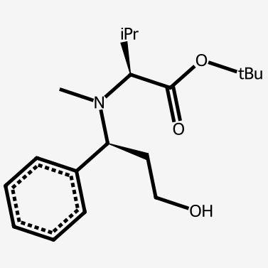 CC(C)[C@@H](C(=O)OC(C)(C)C)N(C)[C@@H](CCO)c1ccccc1